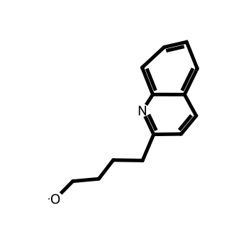 [O]CCCCc1ccc2ccccc2n1